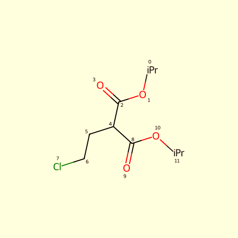 CC(C)OC(=O)C(CCCl)C(=O)OC(C)C